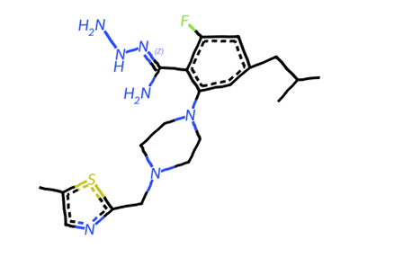 Cc1cnc(CN2CCN(c3cc(CC(C)C)cc(F)c3/C(N)=N/NN)CC2)s1